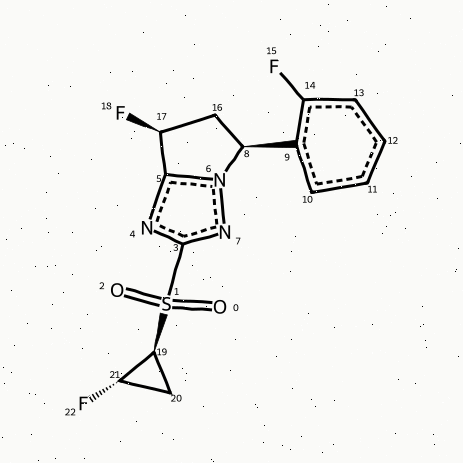 O=S(=O)(c1nc2n(n1)[C@H](c1ccccc1F)C[C@@H]2F)[C@H]1C[C@@H]1F